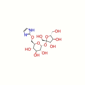 OC[C@H]1O[C@@](CO)(O[C@H]2O[C@H](COc3ncc[nH]3)[C@@H](O)[C@H](O)[C@H]2O)[C@@H](O)[C@@H]1O